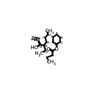 CCCC(=O)OC1CCCCC1.CCCCC(CC)C(=O)O.[Zn].[Zn]